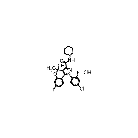 CC1(C)Oc2cc(I)ccc2-c2c1c(C(=O)NN1CCCCC1)nn2-c1ccc(Cl)cc1F.Cl